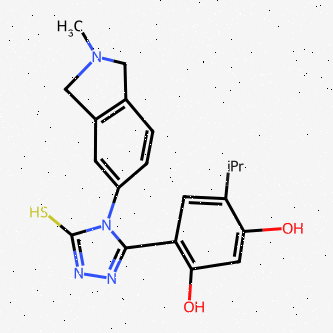 CC(C)c1cc(-c2nnc(S)n2-c2ccc3c(c2)CN(C)C3)c(O)cc1O